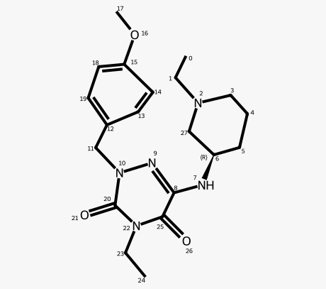 CCN1CCC[C@@H](Nc2nn(Cc3ccc(OC)cc3)c(=O)n(CC)c2=O)C1